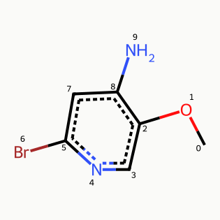 COc1cnc(Br)cc1N